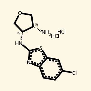 Cl.Cl.N[C@H]1COC[C@H]1Nc1nc2ccc(Cl)cc2s1